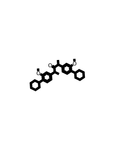 COc1cc(C(C)C(=O)C(C)c2ccc(C3CCCCC3)c(OC)c2)ccc1C1CCCCC1